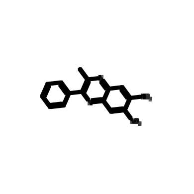 Cc1nc2cc([N+](=O)[O-])c([N+](=O)[O-])cc2nc1-c1ccccc1